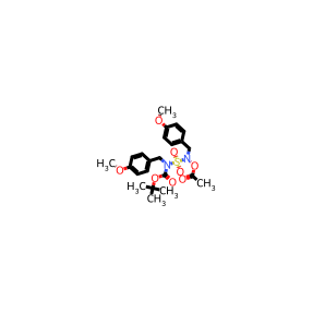 COc1ccc(CN(OC(C)=O)S(=O)(=O)N(Cc2ccc(OC)cc2)C(=O)OC(C)(C)C)cc1